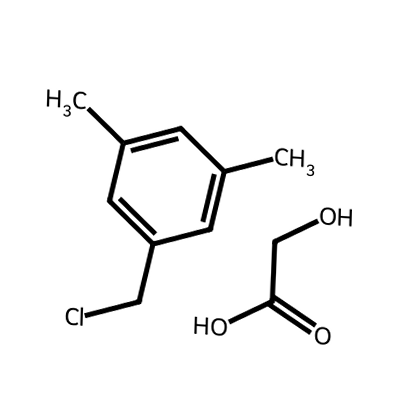 Cc1cc(C)cc(CCl)c1.O=C(O)CO